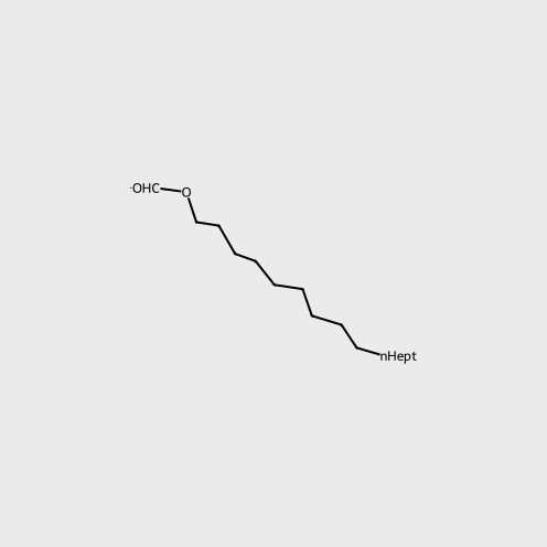 CCCCCCCCCCCCCCCCO[C]=O